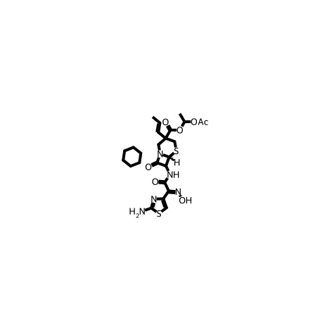 C1CCCCC1.CC=CC1(C(=O)OC(C)OC(C)=O)CS[C@@H]2C(NC(=O)C(=NO)c3csc(N)n3)C(=O)N2C1